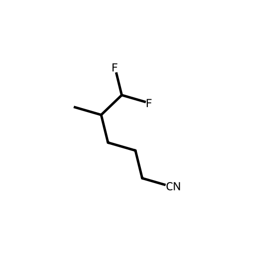 CC(CCCC#N)C(F)F